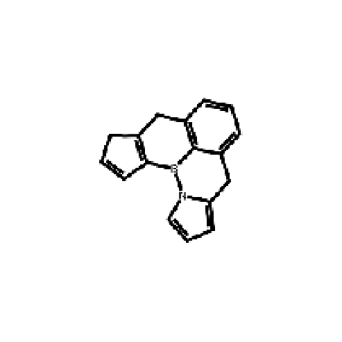 C1=CC2=C(C1)Cc1cccc3c1B2n1cccc1C3